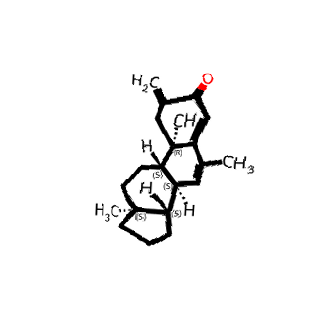 C=C1C[C@@]2(C)C(=CC1=O)C(C)=C[C@H]1[C@@H]3CCC[C@@]3(C)CC[C@@H]12